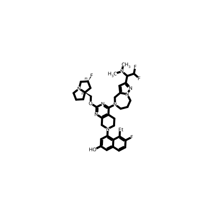 CCc1c(F)ccc2cc(O)cc(N3CCc4c(nc(OC[C@@]56CCCN5C[C@H](F)C6)nc4N4CCCn5nc(C(C(F)F)N(C)C)cc5C4)C3)c12